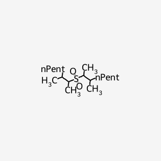 CCCCCC(C)C(C)S(=O)(=O)C(C)C(C)CCCCC